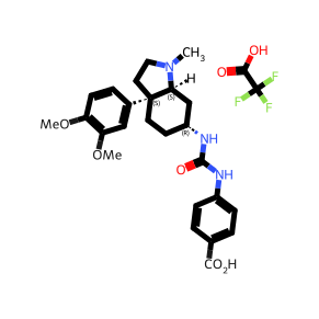 COc1ccc([C@@]23CC[C@@H](NC(=O)Nc4ccc(C(=O)O)cc4)C[C@@H]2N(C)CC3)cc1OC.O=C(O)C(F)(F)F